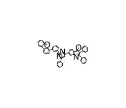 c1ccc(-c2cc(-c3ccc4c(c3)nc(-c3ccccc3)c3c5ccccc5oc43)nc(-c3cccc(-c4cccc5c4oc4ccccc45)c3)n2)cc1